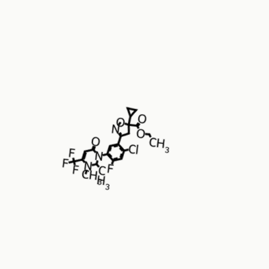 CCOC(=O)C1(C2CC2)CC(c2cc(N3C(=O)C=C(C(F)(F)F)N(C)C3C)c(F)cc2Cl)=NO1